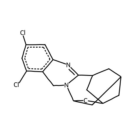 Clc1cc(Cl)c2c(c1)N=C1C3CC4CC(C3)CC(C4)N1C2